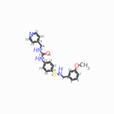 COc1cccc(CNSc2ccc(NC(=O)NCc3ccncc3)cc2)c1